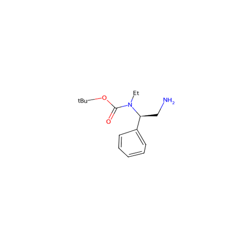 CCN(C(=O)OC(C)(C)C)[C@@H](CN)c1ccccc1